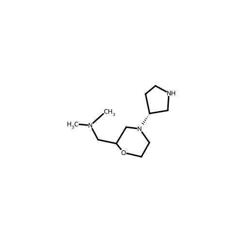 CN(C)CC1CN([C@@H]2CCNC2)CCO1